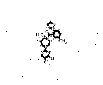 Cc1ccc(-n2nccn2)c(C(=O)N2CCN(c3ncc(C(F)(F)F)c(Cl)n3)CC[C@@H]2C)c1